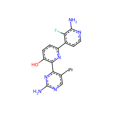 CC(C)c1cnc(N)nc1-c1nc(-c2ccnc(N)c2F)ccc1O